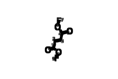 O=C(/C=C/C(=O)OF)OF